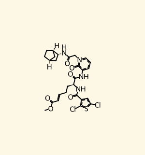 COC(=O)/C=C/CC[C@H](NC(=O)c1cc(Cl)sc1Cl)C(=O)Nc1cccn(CC(=O)N[C@@H]2C[C@H]3CC[C@@H]2C3)c1=O